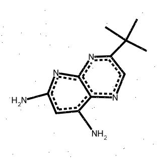 CC(C)(C)c1cnc2c(N)cc(N)nc2n1